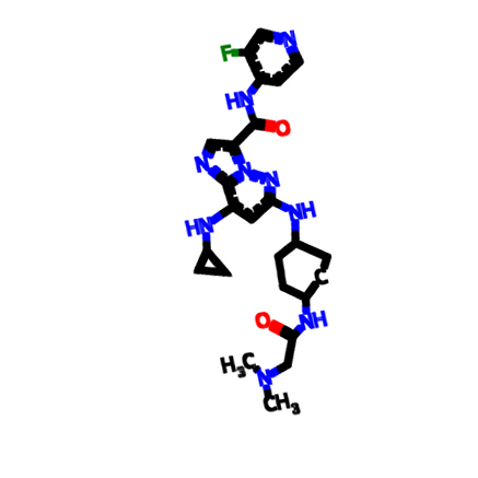 CN(C)CC(=O)NC1CCC(Nc2cc(NC3CC3)c3ncc(C(=O)Nc4ccncc4F)n3n2)CC1